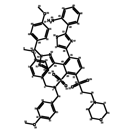 COc1ccc(CN(Cc2ccc(OC)cc2)S(=O)(=O)c2c(S(=O)(=O)CCN3CCOCC3)ccc(-c3csc(-c4ccccc4N)n3)c2-c2nnn(Cc3ccc(OC)cc3)n2)cc1